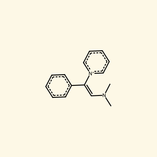 CN(C)C=C(c1ccccc1)[n+]1ccccc1